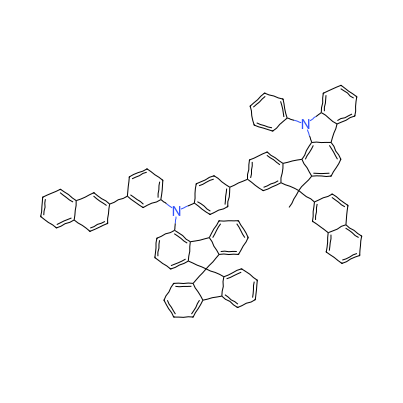 CC1(c2ccc3ccccc3c2)c2cc(-c3ccc(N(c4cccc(-c5ccc6ccccc6c5)c4)c4cccc5c4-c4ccccc4C54c5ccccc5-c5ccccc54)cc3)ccc2-c2c1ccc1c3ccccc3n(-c3ccccc3)c21